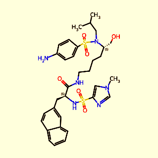 CC(C)CN([C@H](CO)CCCCNC(=O)[C@H](Cc1ccc2ccccc2c1)NS(=O)(=O)c1cn(C)cn1)S(=O)(=O)c1ccc(N)cc1